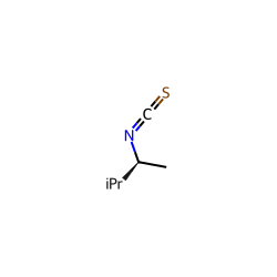 CC(C)[C@H](C)N=C=S